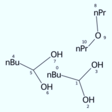 CCCCC(O)O.CCCCC(O)O.CCCOCCC